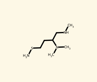 CNCC(CCSN)N(C)C